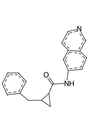 O=C(Nc1ccc2cnccc2c1)C1CC1Cc1ccccc1